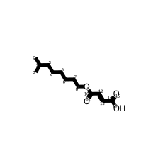 CC(C)CCCCCCOC(=O)/C=C/C(=O)O